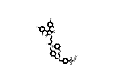 [N-]=[N+]=NS(=O)(=O)c1ccc(CN(CCSc2ccccc2)Cc2ccc(CNC(=O)CCCN3C(=O)C(c4ccc(F)cc4F)=C(c4ccc(F)cc4F)C3=O)cc2)cc1